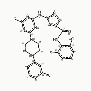 Cc1nc(Nc2ncc(C(=O)Nc3c(C)cccc3Cl)s2)nc(N2CCN(c3cccc(Cl)c3)CC2)n1